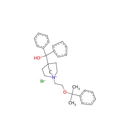 CC(C)(OCC[N+]12CCC(C(O)(c3ccccc3)c3ccccc3)(CC1)CC2)c1ccccc1.[Br-]